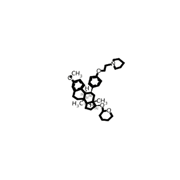 COc1ccc2c(c1)CC[C@@]1(C)[C@@H]3CC[C@H](OC4CCCCO4)[C@@]3(C)C[C@H](c3ccc(OCCN4CCCCC4)cc3)[C@H]21